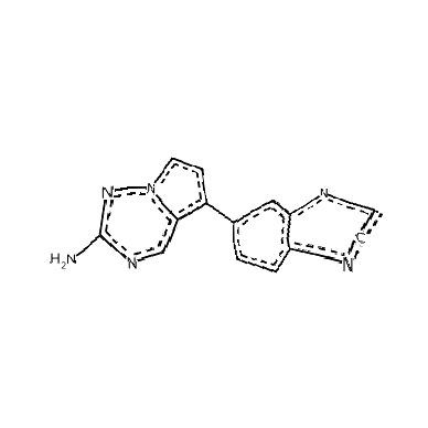 Nc1ncc2c(-c3ccc4nccnc4c3)ccn2n1